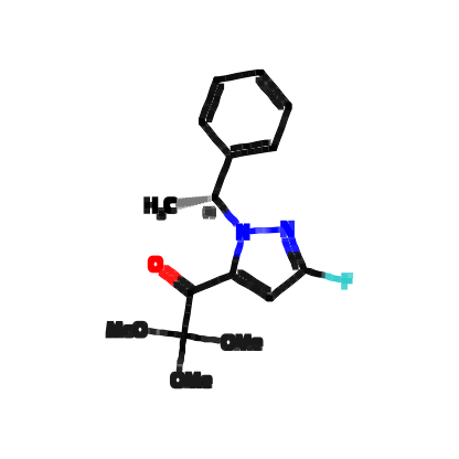 COC(OC)(OC)C(=O)c1cc(F)nn1[C@H](C)c1ccccc1